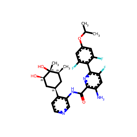 CC(C)Oc1cc(F)c(-c2nc(C(=O)Nc3cnccc3[C@H]3C[C@@H](O)[C@](C)(O)[C@@H](C)C3)c(N)cc2F)c(F)c1